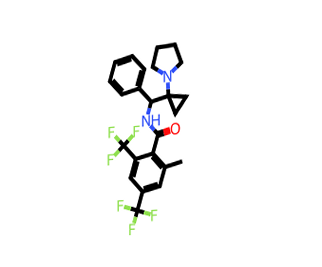 Cc1cc(C(F)(F)F)cc(C(F)(F)F)c1C(=O)NC(c1ccccc1)C1(N2CCCC2)CC1